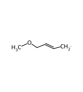 [CH2]/C=C/COC